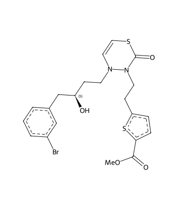 COC(=O)c1ccc(CCN2C(=O)SC=CN2CC[C@@H](O)Cc2cccc(Br)c2)s1